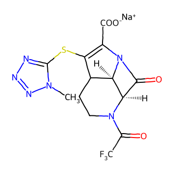 Cn1nnnc1SC1=C(C(=O)[O-])N2C(=O)[C@@H]3[C@H]2C1CCN3C(=O)C(F)(F)F.[Na+]